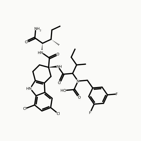 CCC(C)C(C(=O)N[C@]1(C(=O)N[C@H](C(N)=O)[C@@H](C)CC)CCc2[nH]c3c(Cl)cc(Cl)cc3c2C1)N(Cc1cc(F)cc(F)c1)C(=O)O